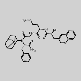 CSCC[C@@H](NC(=O)[C@@H](N)Cc1ccc2ccccc2c1)C(=O)NCC(=O)N(C1C2CC3CC(C2)CC1C3)[C@@H](Cc1ccccc1)C(N)=O